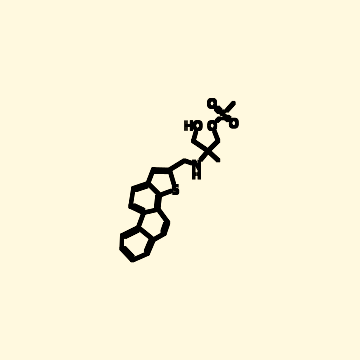 CC(CO)(COS(C)(=O)=O)NCc1cc2ccc3c4ccccc4ccc3c2s1